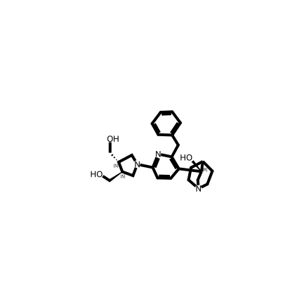 OC[C@@H]1CN(c2ccc([C@@]3(O)CN4CCC3CC4)c(Cc3ccccc3)n2)C[C@H]1CO